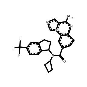 Nc1nc2ccc(C(=O)N(C3CCC3)C3CCc4cc(C(F)(F)F)ccc43)cc2n2nncc12